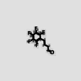 O=[C]CC=Cc1c(F)c(F)c(F)c(F)c1F